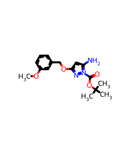 COc1cccc(COc2cc(N)n(C(=O)OC(C)(C)C)n2)c1